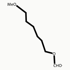 COCCCCCCO[C]=O